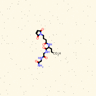 NC(=O)CNC(=O)CNC(=O)C(CCC(=O)O)NC(=O)CCCN1C(=O)C=CC1=O